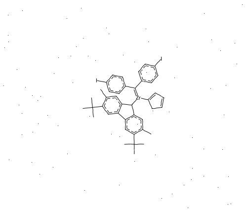 Cc1cc2c(cc1C(C)(C)C)-c1cc(C(C)(C)C)c(C)cc1[CH]2[Zr]([C]1=CC=CC1)=[C](c1ccc(I)cc1)c1ccc(I)cc1